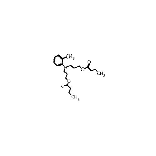 CCCC(=O)OCCCN(CCCOC(=O)CCC)c1ccccc1C